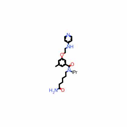 Cc1cc(OCCNc2ccncc2)cc(C(=O)N(CCCCCC(N)=O)C(C)C)c1